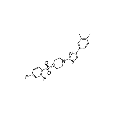 Cc1ccc(-c2csc(N3CCN(S(=O)(=O)c4ccc(F)cc4F)CC3)n2)cc1C